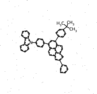 CC(C)(C)c1ccc(-c2cc(-c3ccc(-n4c5ccccc5c5ccccc54)cc3)c3ccc4cc(-c5ccccc5)cc5ccc2c3c45)cc1